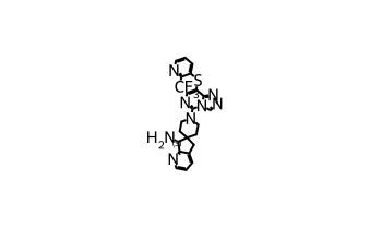 N[C@@H]1c2ncccc2CC12CCN(c1ncc(Sc3cccnc3C(F)(F)F)c3nncn13)CC2